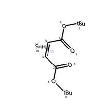 CC(C)(C)OC(=O)/C=C\C(=O)OC(C)(C)C.[SnH2]